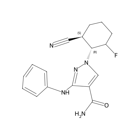 N#C[C@H]1CCCC(F)[C@@H]1n1cc(C(N)=O)c(Nc2ccccc2)n1